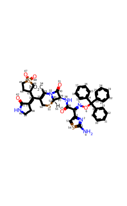 Nc1nc(C(=NOC(c2ccccc2)(c2ccccc2)c2ccccc2)C(=O)N[C@@H]2C(=O)N3C(C(=O)O)=C(C(=C4CCNC4=O)C4CCS(=O)(=O)C4)CS[C@H]23)cs1